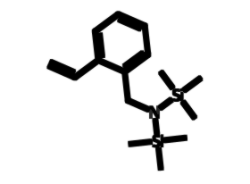 C=Cc1ccccc1CN([Si](C)(C)C)[Si](C)(C)C